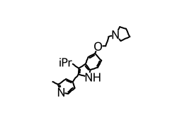 Cc1cc(-c2[nH]c3ccc(OCCN4CCCC4)cc3c2C(C)C)ccn1